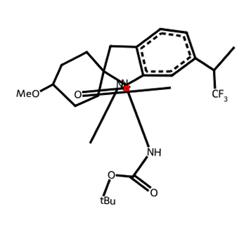 COC1CCC2(CC1)Cc1ccc(C(C)C(F)(F)F)cc1C21N=C(NC(=O)OC(C)(C)C)N(C)C1=O